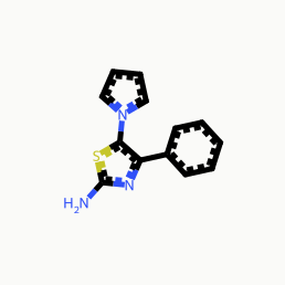 Nc1nc(-c2ccccc2)c(-n2cccc2)s1